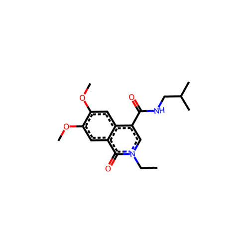 CCn1cc(C(=O)NCC(C)C)c2cc(OC)c(OC)cc2c1=O